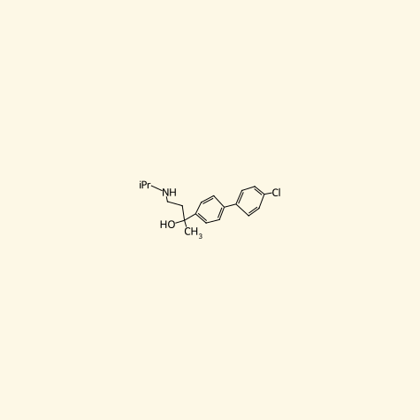 CC(C)NCCC(C)(O)c1ccc(-c2ccc(Cl)cc2)cc1